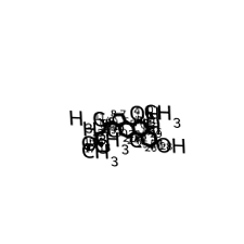 CC[C@H]1[C@@H](O)C2C3CC[C@H]([C@H](C)CCC(=O)OC)[C@@]3(C)CCC2[C@@]2(C)CC[C@@H](O)C[C@@H]12